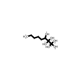 CCCCCC(O)C(O)(O)C(O)(O)O